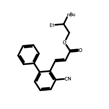 CCCCC(CC)COC(=O)C=Cc1c(C#N)cccc1-c1ccccc1